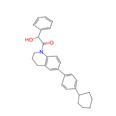 O=C(C(O)c1ccccc1)N1CCCc2cc(-c3ccc(C4CCCCC4)cc3)ccc21